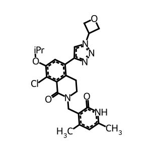 Cc1cc(C)c(CN2CCc3c(-c4cn(C5COC5)nn4)cc(OC(C)C)c(Cl)c3C2=O)c(=O)[nH]1